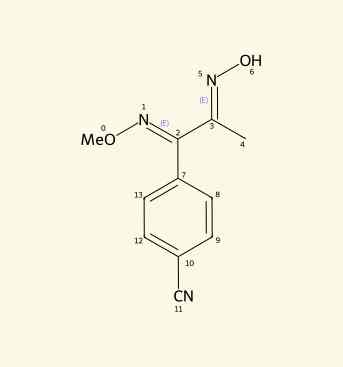 CO/N=C(/C(C)=N/O)c1ccc(C#N)cc1